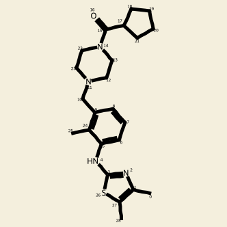 Cc1nc(Nc2cccc(CN3CCN(C(=O)C4CCCC4)CC3)c2C)sc1C